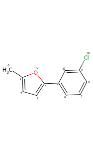 Cc1ccc(-c2cccc(Cl)c2)o1